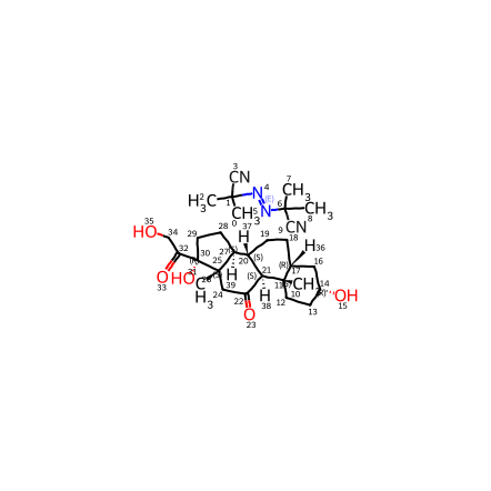 CC(C)(C#N)/N=N/C(C)(C)C#N.C[C@]12CC[C@@H](O)C[C@H]1CC[C@@H]1[C@@H]2C(=O)C[C@@]2(C)[C@H]1CC[C@]2(O)C(=O)CO